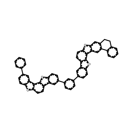 c1ccc(-c2ccc3oc4ccc5c6cc(-c7cccc(-c8ccc9oc%10c(ccc%11oc%12cc%13c(cc%12c%11%10)-c%10ccccc%10CC%13)c9c8)c7)ccc6oc5c4c3c2)cc1